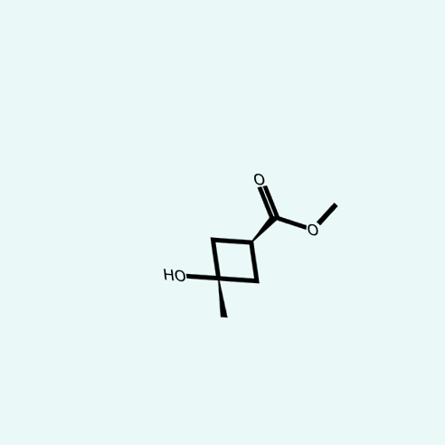 COC(=O)[C@H]1C[C@](C)(O)C1